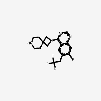 Fc1cc2ncnc(N3CC4(CCNCC4)C3)c2cc1CC(F)(F)F